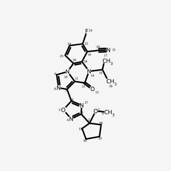 COC1(c2noc(-c3ncn4c3c(=O)n(C(C)C)c3c(C#N)c(F)ccc34)n2)CCCC1